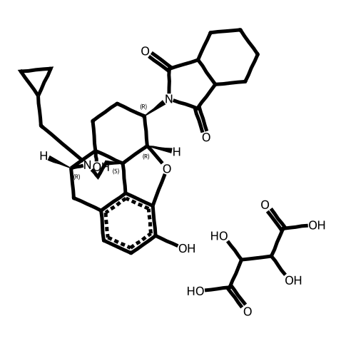 O=C(O)C(O)C(O)C(=O)O.O=C1C2CCCCC2C(=O)N1[C@@H]1CCC2(O)[C@H]3Cc4ccc(O)c5c4[C@@]2(CCN3CC2CC2)[C@H]1O5